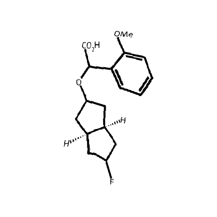 COc1ccccc1C(OC1C[C@H]2CC(F)C[C@H]2C1)C(=O)O